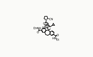 CCNC(=O)c1ccc2c(c1)CCc1cc(C(=O)NCC)ccc1C2(C[C@H](NCC(=O)N1CCC[C@H]1C#N)C1CC1)c1nnn[nH]1